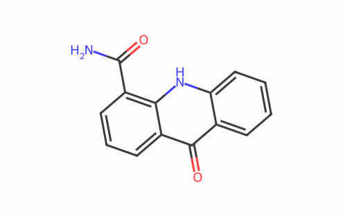 NC(=O)c1cccc2c(=O)c3ccccc3[nH]c12